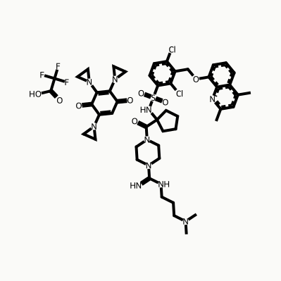 Cc1cc(C)c2cccc(OCc3c(Cl)ccc(S(=O)(=O)NC4(C(=O)N5CCN(C(=N)NCCCN(C)C)CC5)CCCC4)c3Cl)c2n1.O=C(O)C(F)(F)F.O=C1C=C(N2CC2)C(=O)C(N2CC2)=C1N1CC1